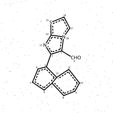 O=Cc1c(-c2cccc3ccccc23)nc2sccn12